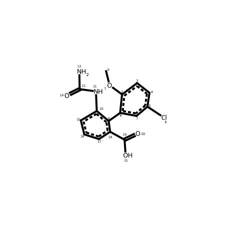 COc1ccc(Cl)cc1-c1c(NC(N)=O)cccc1C(=O)O